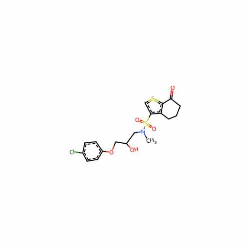 CN(CC(O)COc1ccc(Cl)cc1)S(=O)(=O)c1csc2c1CCCC2=O